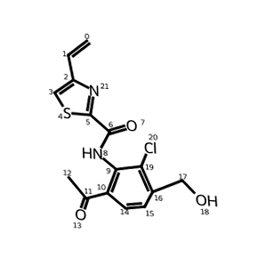 C=Cc1csc(C(=O)Nc2c(C(C)=O)ccc(CO)c2Cl)n1